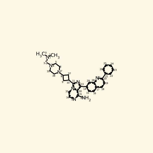 CN(C)SN1CCN(C2CC(c3nc(-c4ccc5ccc(-c6ccccc6)nc5c4)c4c(N)nccn34)C2)CC1